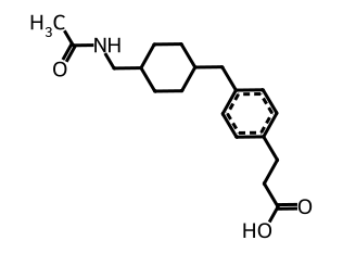 CC(=O)NCC1CCC(Cc2ccc(CCC(=O)O)cc2)CC1